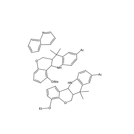 CCOc1cccc2c1OCC1C2Nc2ccc(C(C)=O)cc2C1(C)C.COc1cccc2c1C1Nc3ccc(C(C)=O)cc3C(C)(C)C1CO2.c1ccc2ncccc2c1